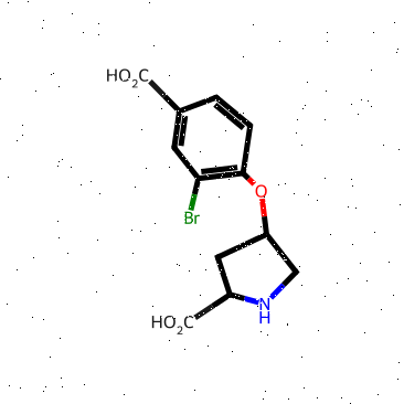 O=C(O)c1ccc(OC2CNC(C(=O)O)C2)c(Br)c1